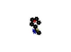 c1ccc(-c2cccc3c2oc2c(-c4cccc(-c5cccc(-c6ncnc7c6sc6ccccc67)c5)c4)cccc23)cc1